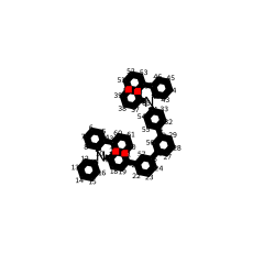 c1ccc(-c2ccccc2N(c2ccccc2)c2ccc(-c3cccc(-c4cccc(-c5ccc(N(c6ccccc6)c6ccccc6-c6ccccc6)cc5)c4)c3)cc2)cc1